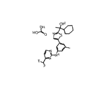 Cc1cc(Nc2nccc(C(F)F)n2)cc(-c2cnc(C(C)(O)C3CCCCC3)s2)c1.O=C(O)O